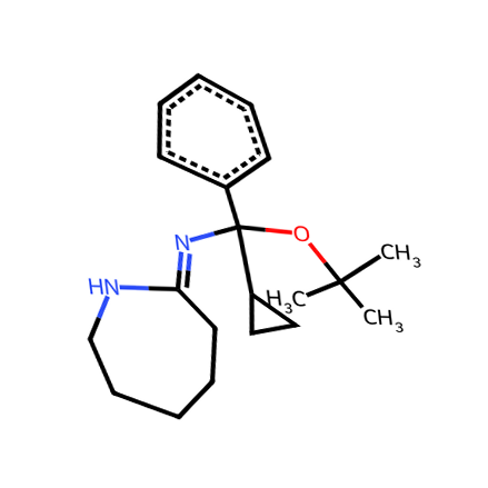 CC(C)(C)OC(N=C1CCCCCN1)(c1ccccc1)C1CC1